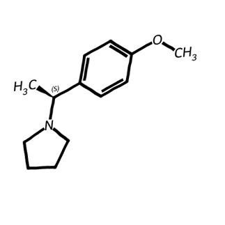 COc1ccc([C@H](C)N2CCCC2)cc1